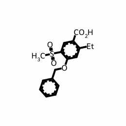 CCc1cc(OCc2ccccc2)c(S(C)(=O)=O)cc1C(=O)O